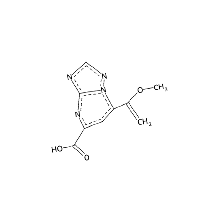 C=C(OC)c1cc(C(=O)O)nc2ncnn12